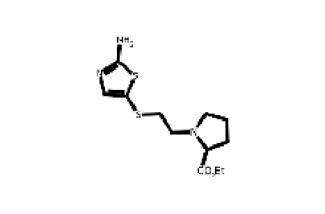 CCOC(=O)C1CCCN1CCSc1cnc(N)s1